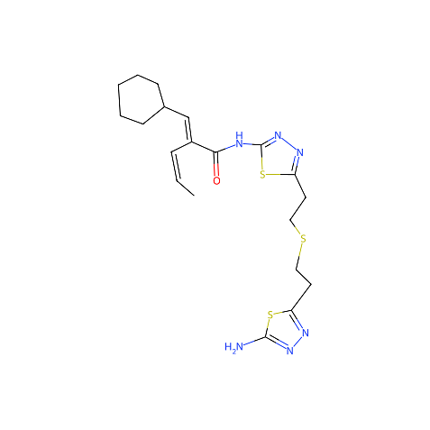 C/C=C\C(=C/C1CCCCC1)C(=O)Nc1nnc(CCSCCc2nnc(N)s2)s1